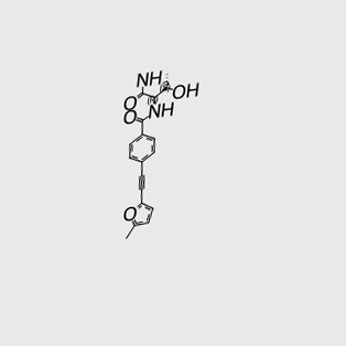 Cc1ccc(C#Cc2ccc(C(=O)N[C@@H](C(N)=O)[C@H](C)O)cc2)o1